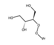 CC(C)OO[C@H](CO)[C@H](O)CO